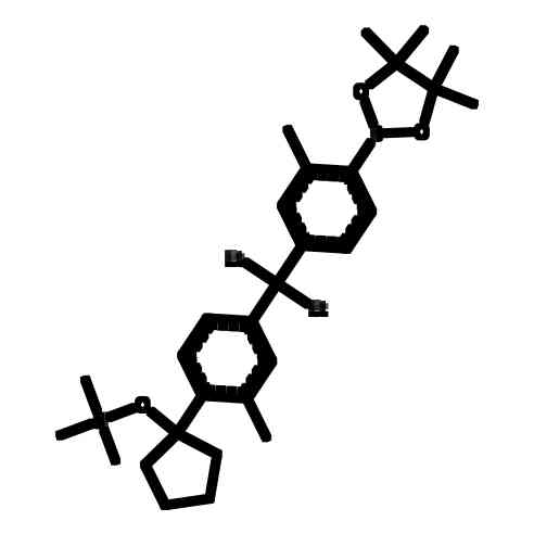 CCC(CC)(c1ccc(B2OC(C)(C)C(C)(C)O2)c(C)c1)c1ccc(C2(O[Si](C)(C)C)CCCC2)c(C)c1